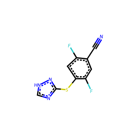 N#Cc1cc(F)c(Sc2nc[nH]n2)cc1F